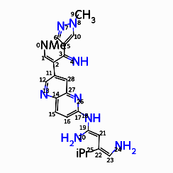 CN/C=C(\C(=N)c1cnn(C)c1)c1cnc2ccc(N/C(N)=C/C(=C\N)C(C)C)nc2c1